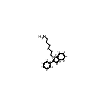 NCCCCCCn1c(-c2ccccc2)cc2ccccc21